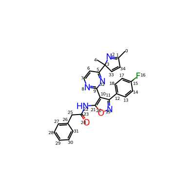 CC1=NC(C)(c2ccnc(-c3c(-c4ccc(F)cc4)noc3NC(=O)Cc3ccccc3)n2)C=C1